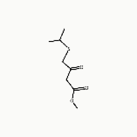 COC(=O)CC(=O)CSC(C)C